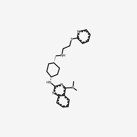 CN(C)c1nc(N[C@H]2CC[C@@H](CNCCSc3ccccn3)CC2)nc2ccccc12